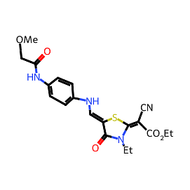 CCOC(=O)C(C#N)=c1sc(=CNc2ccc(NC(=O)COC)cc2)c(=O)n1CC